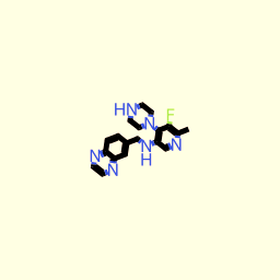 Cc1ncc(NCc2ccc3nccnc3c2)c(N2CCNCC2)c1F